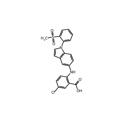 CS(=O)(=O)c1ccccc1-n1ccc2cc(Nc3ccc(Cl)cc3C(=O)O)ccc21